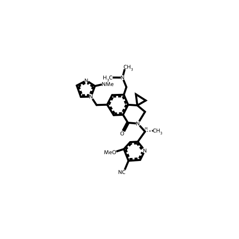 CNc1nccn1Cc1cc(CN(C)C)c2c(c1)C(=O)N([C@H](C)c1cc(OC)c(C#N)cn1)CC21CC1